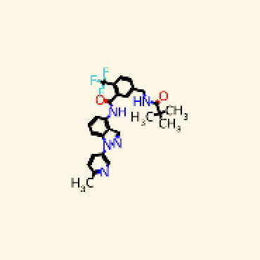 Cc1ccc(-n2ncc3c(NC(=O)c4cc(CNC(=O)C(C)(C)C)ccc4C(F)(F)F)cccc32)cn1